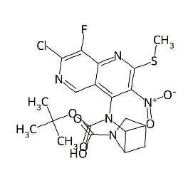 CSc1nc2c(F)c(Cl)ncc2c(N(C(=O)OC(C)(C)C)C2C3CC2N(C(=O)O)C3)c1[N+](=O)[O-]